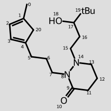 CC1=CC=C(CCCN2C(=O)CCCN2CCC(O)C(C)(C)C)C1